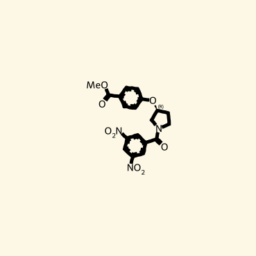 COC(=O)c1ccc(O[C@@H]2CCN(C(=O)c3cc([N+](=O)[O-])cc([N+](=O)[O-])c3)C2)cc1